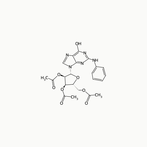 CC(=O)OC[C@H]1O[C@@H](n2cnc3c(O)nc(Nc4ccccc4)nc32)[C@H](OC(C)=O)[C@@H]1OC(C)=O